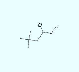 [CH2]CC([O])CC(C)(C)C